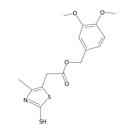 COc1ccc(COC(=O)Cc2sc(S)nc2C)cc1OC